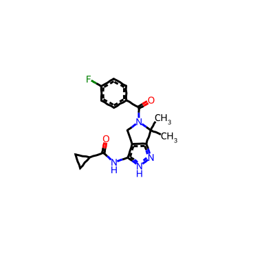 CC1(C)c2n[nH]c(NC(=O)C3CC3)c2CN1C(=O)c1ccc(F)cc1